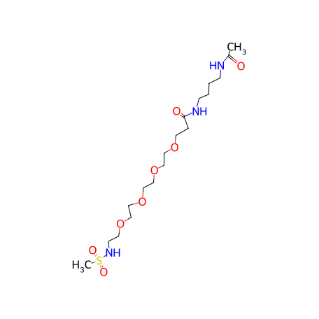 CC(=O)NCCCCNC(=O)CCOCCOCCOCCOCCNS(C)(=O)=O